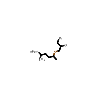 CCCCCC(CCC(C)SCC(CC)CC(C)C)SC